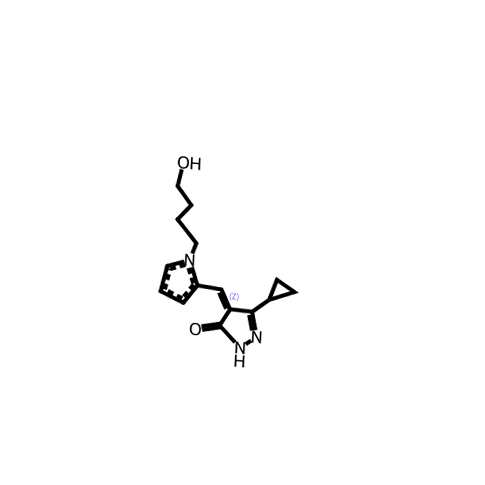 O=C1NN=C(C2CC2)/C1=C/c1cccn1CCCCO